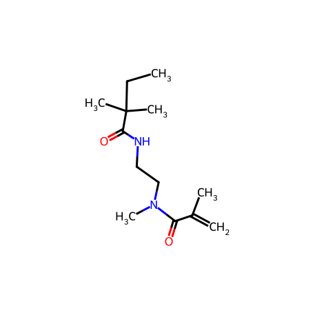 C=C(C)C(=O)N(C)CCNC(=O)C(C)(C)CC